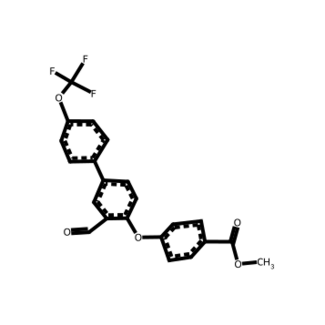 COC(=O)c1ccc(Oc2ccc(-c3ccc(OC(F)(F)F)cc3)cc2C=O)cc1